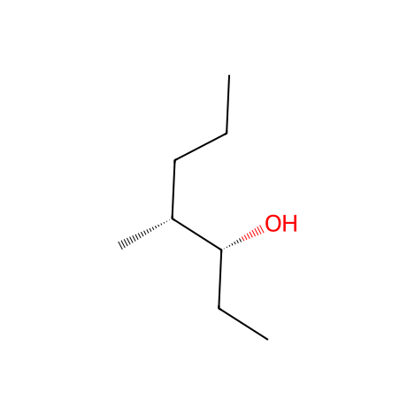 CCC[C@@H](C)[C@H](O)CC